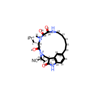 CC(C)C[C@H]1C(=O)N2C[C@]3(C[C@H]2C#N)C(=O)Nc2ccc(cc23)CCCCCNC(=O)C(=O)N1C